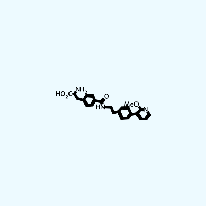 COc1ncccc1-c1ccc(CCNC(=O)c2ccc(C[C@H](N)C(=O)O)cc2)cc1